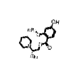 CCCOc1cc(O)ccc1C(=O)OC[C@H](C(C)CC)N1CCCCC1